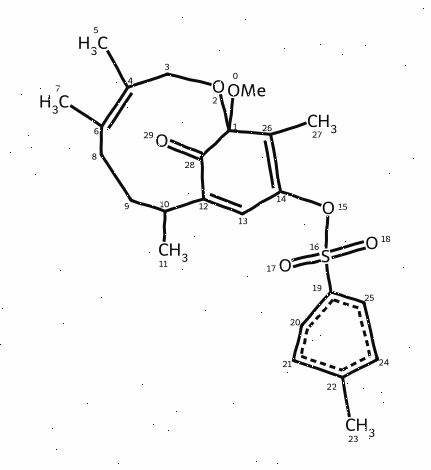 COC12OC/C(C)=C(/C)CCC(C)C(=CC(OS(=O)(=O)c3ccc(C)cc3)=C1C)C2=O